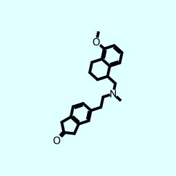 COc1cccc2c1CCCC2CN(C)CCc1ccc2c(c1)CC(=O)C2